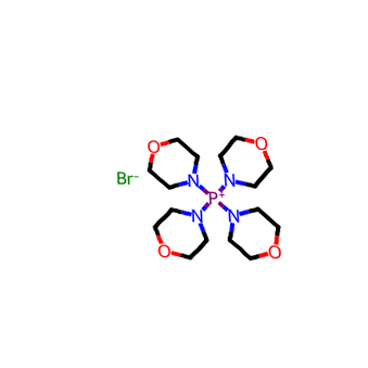 C1CN([P+](N2CCOCC2)(N2CCOCC2)N2CCOCC2)CCO1.[Br-]